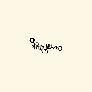 C[C@@H]1CN(C2=NC(C)(C)C(c3ccccc3)O2)CCN1C(=O)[C@H](N)CCCCN1CCCCC1